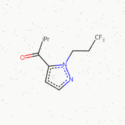 CC(C)C(=O)c1ccnn1CCC(F)(F)F